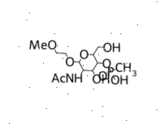 COCCOC1OC(CO)C(OP(C)(=O)O)C(O)C1NC(C)=O